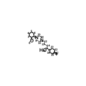 COc1ccccc1N1CCN(CCCC(O)c2ccc(F)cc2)CC1